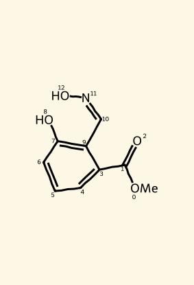 COC(=O)c1cccc(O)c1/C=N\O